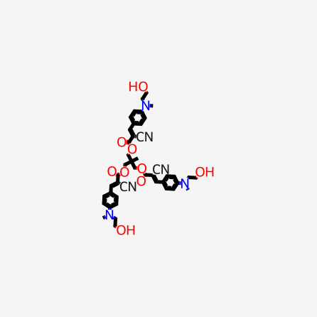 CN(CCO)c1ccc(/C=C(\C#N)C(=O)OCC(C)(COC(=O)/C(C#N)=C/c2ccc(N(C)CCO)cc2)COC(=O)/C(C#N)=C/c2ccc(N(C)CCO)cc2)cc1